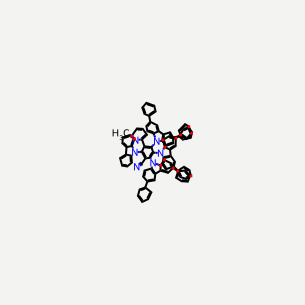 Cc1cccc(-c2c(-n3c4ccccc4c4ccccc43)c(C#N)c(-n3c4ccc(-c5ccccc5)cc4c4cc(-c5ccccc5)ccc43)c(-n3c4ccc(-c5ccccc5)cc4c4cc(-c5ccccc5)ccc43)c2-n2c3ccc(-c4ccccc4)cc3c3cc(-c4ccccc4)ccc32)n1